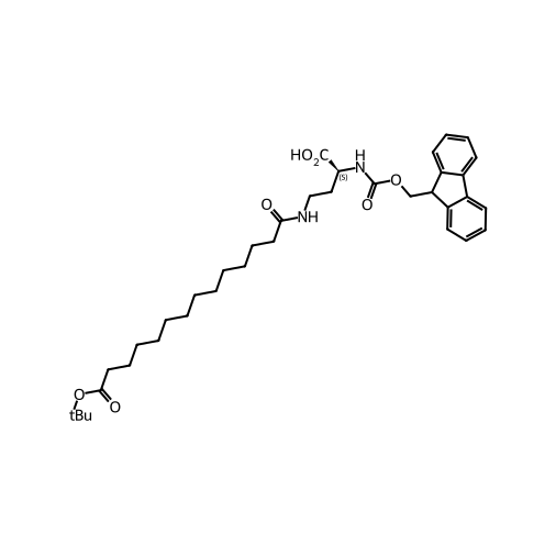 CC(C)(C)OC(=O)CCCCCCCCCCCCC(=O)NCC[C@H](NC(=O)OCC1c2ccccc2-c2ccccc21)C(=O)O